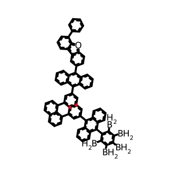 Bc1c(B)c(B)c(-c2c3ccccc3c(-c3cccc(-c4cccc5cccc(-c6cccc(-c7c8ccccc8c(-c8ccc9oc%10c(-c%11ccccc%11)cccc%10c9c8)c8ccccc78)c6)c45)c3)c3ccccc23)c(B)c1B